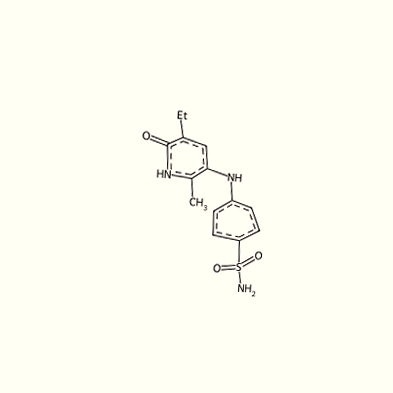 CCc1cc(Nc2ccc(S(N)(=O)=O)cc2)c(C)[nH]c1=O